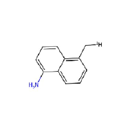 [2H]Cc1cccc2c(N)cccc12